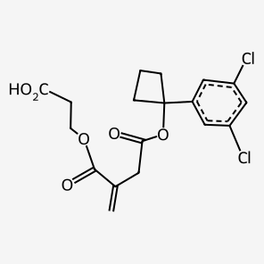 C=C(CC(=O)OC1(c2cc(Cl)cc(Cl)c2)CCC1)C(=O)OCCC(=O)O